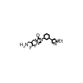 CCn1cc(-c2cccc(-n3cnn(CC(CN)=C(F)F)c3=O)c2)cn1